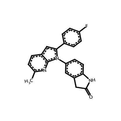 Cc1ccc2cc(-c3ccc(F)cc3)n(-c3ccc4c(c3)CC(=O)N4)c2n1